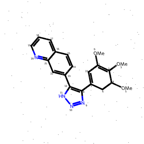 COC1=C(OC)C(OC)CC(c2nn[nH]c2-c2ccc3cccnc3c2)=C1